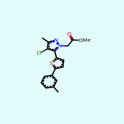 COC(=O)Cn1nc(C)c(Cl)c1-c1ccc(-c2cccc(C)c2)s1